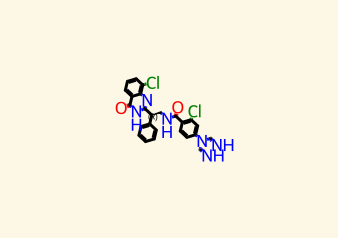 N=CN(C=N)c1ccc(C(=O)NC[C@@H](c2ccccc2)c2nc3c(Cl)cccc3c(=O)[nH]2)c(Cl)c1